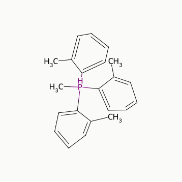 Cc1ccccc1[PH](C)(c1ccccc1C)c1ccccc1C